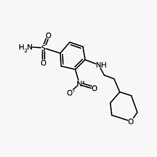 NS(=O)(=O)c1ccc(NCCC2CCOCC2)c([N+](=O)[O-])c1